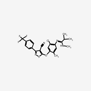 CNC(=Nc1cc(C)c(Oc2snc(-c3ccc(C(F)(F)F)cc3)c2C#N)cc1Cl)C(C)C